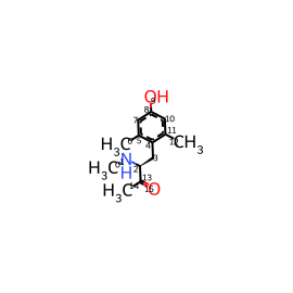 CN[C@@H](Cc1c(C)cc(O)cc1C)C(C)=O